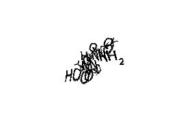 CC(C)[C@H](NC(=O)[C@@H]1CCCN1C(=O)[C@H](C)NC(=O)[C@@H](N)CC(=O)OC(C)(C)C)C(=O)O